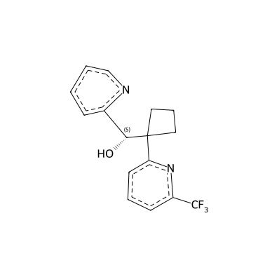 O[C@H](c1ccccn1)C1(c2cccc(C(F)(F)F)n2)CCC1